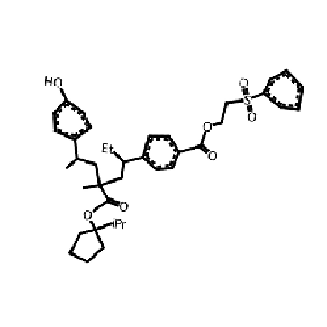 CCC(CC(C)(CC(C)c1ccc(O)cc1)C(=O)OC1(C(C)C)CCCC1)c1ccc(C(=O)OCCS(=O)(=O)c2ccccc2)cc1